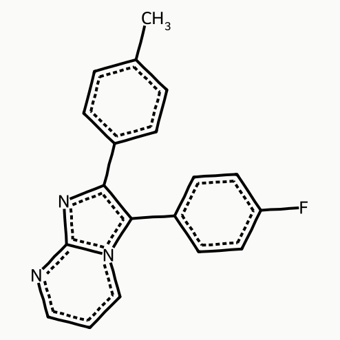 Cc1ccc(-c2nc3ncccn3c2-c2ccc(F)cc2)cc1